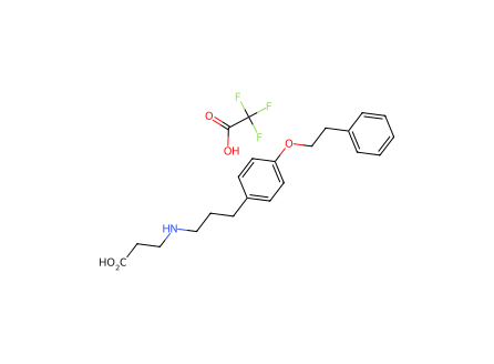 O=C(O)C(F)(F)F.O=C(O)CCNCCCc1ccc(OCCc2ccccc2)cc1